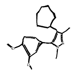 COc1ccc(-c2c(C3CCCCC3)c(C)nn2C)cc1OC